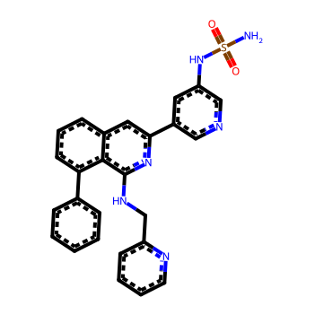 NS(=O)(=O)Nc1cncc(-c2cc3cccc(-c4ccccc4)c3c(NCc3ccccn3)n2)c1